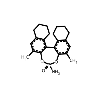 Cc1cc2c(c3c1OP(N)(=O)Oc1c(C)cc4c(c1-3)CCCC4)CCCC2